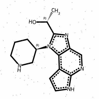 C[C@@H](O)c1nc2cnc3[nH]ccc3c2n1[C@@H]1CCCNC1